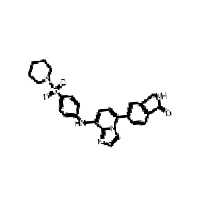 O=C1NCc2cc(-c3ccc(Nc4ccc(S(=O)(=O)N5CCCCC5)cc4)c4nccn34)ccc21